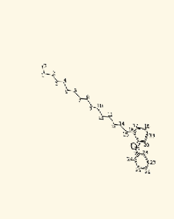 CCCCCCCCCCCCCCCCc1ccccc1Oc1ccccc1